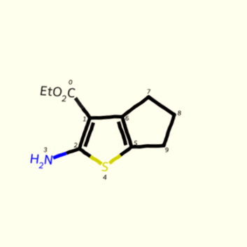 CCOC(=O)c1c(N)sc2c1CCC2